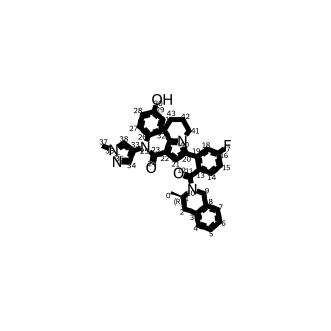 C[C@@H]1Cc2ccccc2CN1C(=O)c1ccc(F)cc1-c1cc(C(=O)N(c2ccc(O)cc2)c2cnn(C)c2)c2n1CCCC2